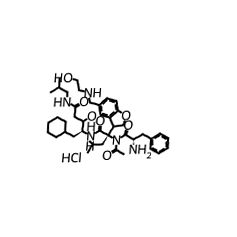 CC(=O)N(C(=O)[C@@H](N)Cc1ccccc1)[C@](CC(C)C)(C(=O)N[C@@H](CC1CCCCC1)C(O)CC(=O)NCC(C)C)C1COc2ccc(CNCCO)cc21.Cl